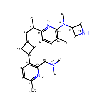 CCc1ccc(C2CC(CC(C)c3ccc(C)c(N(C)C4CNC4)n3)C2)c(CN(C)C)n1